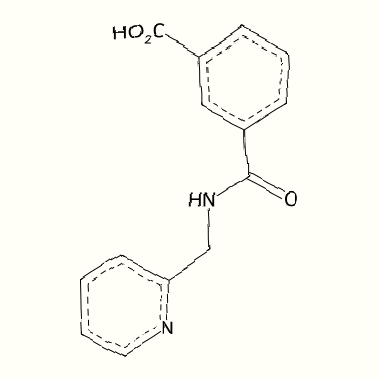 O=C(O)c1cccc(C(=O)NCc2ccccn2)c1